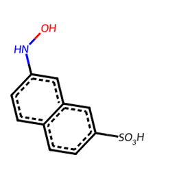 O=S(=O)(O)c1ccc2ccc(NO)cc2c1